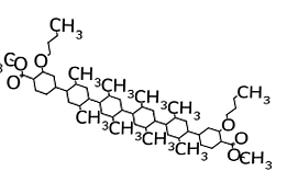 CCCCOC1CC(C2CC(C)C(C3CC(C)C(C4CC(C)C(C5CC(C)C(C6CCC(C(=O)OC)C(OCCCC)C6)CC5C)CC4C)CC3C)CC2C)CCC1C(=O)OC